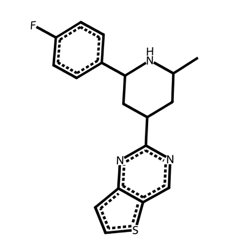 CC1CC(c2ncc3sccc3n2)CC(c2ccc(F)cc2)N1